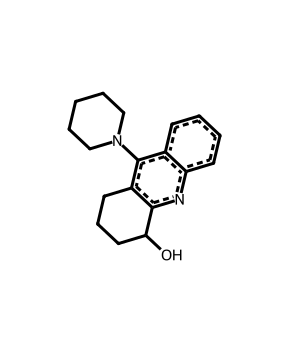 OC1CCCc2c1nc1ccccc1c2N1CCCCC1